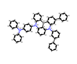 c1ccc(-c2cccc(N3c4cc(-c5ccccc5)ccc4B4c5ccccc5N(c5ccc(N(c6ccccc6)c6ccccc6)cc5)c5cccc3c54)c2)cc1